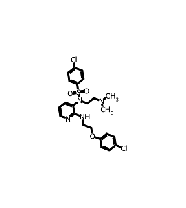 CN(C)CCN(c1cccnc1NCCOc1ccc(Cl)cc1)S(=O)(=O)c1ccc(Cl)cc1